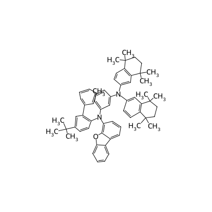 Cc1cc(N(c2ccc3c(c2)C(C)(C)CCC3(C)C)c2ccc3c(c2)C(C)(C)CCC3(C)C)cc(N(c2ccc(C(C)(C)C)cc2-c2ccccc2)c2cccc3c2oc2ccccc23)c1